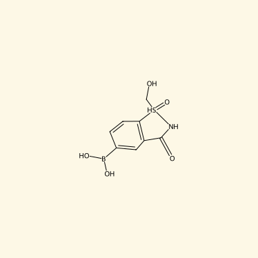 O=C1N[SH](=O)(CO)c2ccc(B(O)O)cc21